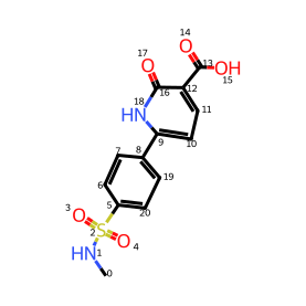 CNS(=O)(=O)c1ccc(-c2ccc(C(=O)O)c(=O)[nH]2)cc1